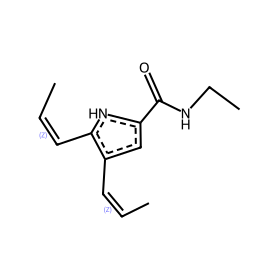 C/C=C\c1cc(C(=O)NCC)[nH]c1/C=C\C